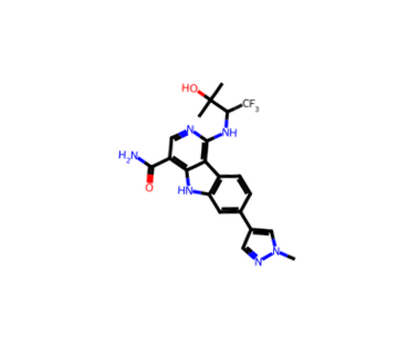 Cn1cc(-c2ccc3c(c2)[nH]c2c(C(N)=O)cnc(NC(C(C)(C)O)C(F)(F)F)c23)cn1